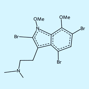 COc1c(Br)cc(Br)c2c(CCN(C)C)c(Br)n(OC)c12